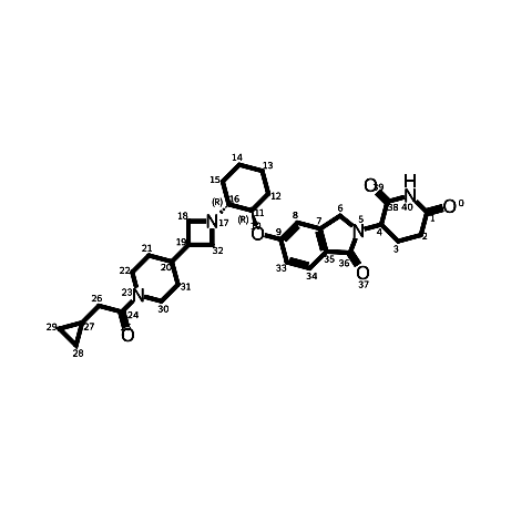 O=C1CCC(N2Cc3cc(O[C@@H]4CCCC[C@H]4N4CC(C5CCN(C(=O)CC6CC6)CC5)C4)ccc3C2=O)C(=O)N1